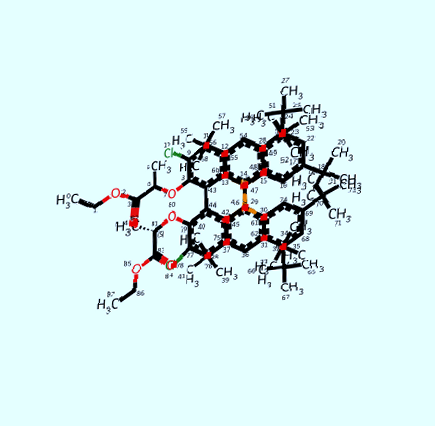 CCOC(=O)C(C)Oc1c(Cl)ccc(P(c2cc(C(C)(C)C)cc(C(C)(C)C)c2)c2cc(C(C)(C)C)cc(C(C)(C)C)c2)c1-c1c(P(c2cc(C(C)(C)C)cc(C(C)(C)C)c2)c2cc(C(C)(C)C)cc(C(C)(C)C)c2)ccc(Cl)c1O[C@@H](C)C(=O)OCC